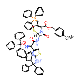 COc1ccc(COC(=O)C2=C(C=P(c3ccccc3)(c3ccccc3)c3ccccc3)CS[C@H]3[C@H](NC(=O)/C(=N\OC(c4ccccc4)(c4ccccc4)c4ccccc4)c4csc(NC(c5ccccc5)(c5ccccc5)c5ccccc5)n4)C(=O)N23)cc1